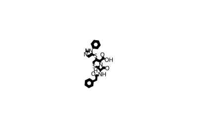 O=C(Cc1ccccc1)N[C@@H]1C(=O)N2C(C(=O)O)=C(Sc3cnnn3-c3ccccc3)CS[C@@H]12